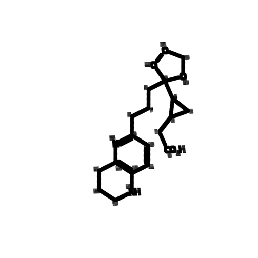 O=C(O)CC1CC1C1(CCCc2ccc3c(n2)CCCN3)OCOO1